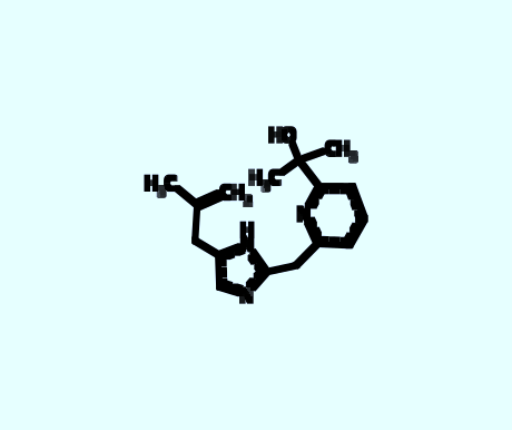 C=C(C)Cc1cnc(Cc2cccc(C(C)(C)O)n2)[nH]1